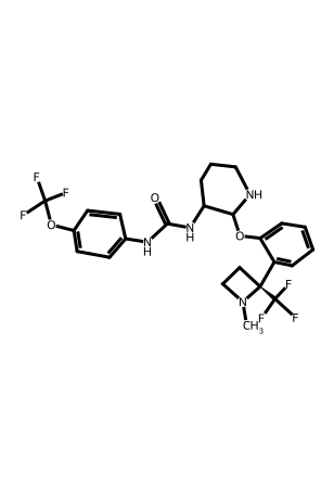 CN1CC[C@@]1(c1ccccc1OC1NCCCC1NC(=O)Nc1ccc(OC(F)(F)F)cc1)C(F)(F)F